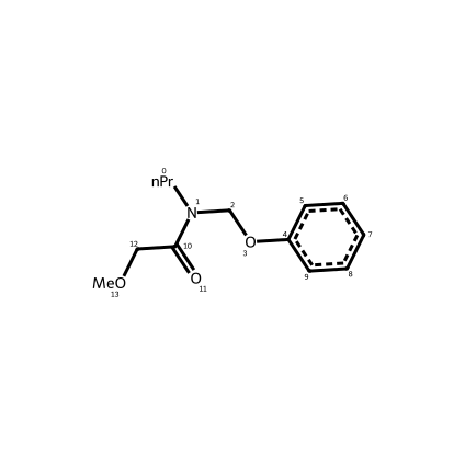 CCCN(COc1ccccc1)C(=O)COC